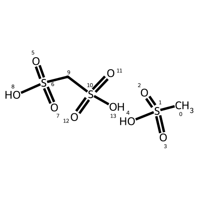 CS(=O)(=O)O.O=S(=O)(O)CS(=O)(=O)O